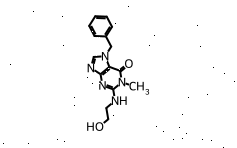 Cn1c(NCCO)nc2ncn(Cc3ccccc3)c2c1=O